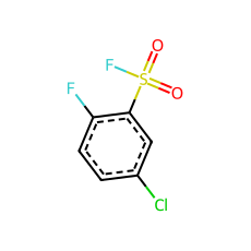 O=S(=O)(F)c1cc(Cl)ccc1F